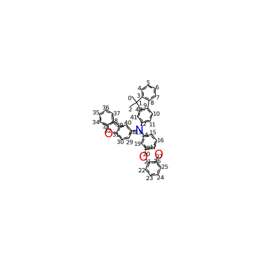 CC1(C)c2ccccc2-c2ccc(N(c3ccc4c(c3)Oc3ccccc3O4)c3ccc4oc5ccccc5c4c3)cc21